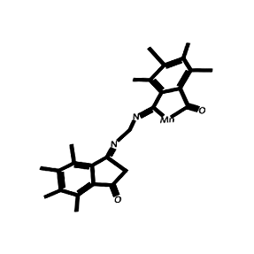 Cc1c(C)c(C)c2c(c1C)[C](=O)[Mn]/[C]2=N\C/N=C1\CC(=O)c2c(C)c(C)c(C)c(C)c21